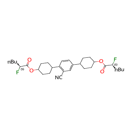 CCCC[C@H](F)C(=O)OC1CCC(c2ccc(C3CCC(OC(=O)[C@@H](F)CCCC)CC3)c(C#N)c2)CC1